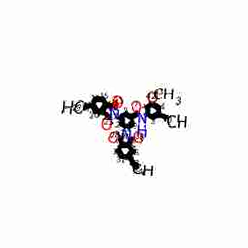 C#Cc1cc(NC(=O)c2cc(N3C(=O)c4ccc(C#C)cc4C3=O)cc(N3C(=O)c4ccc(C#C)cc4C3=O)c2)cc(OC)c1